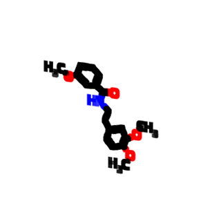 COc1cccc(C(=O)NCCc2ccc(OC)c(OC)c2)c1